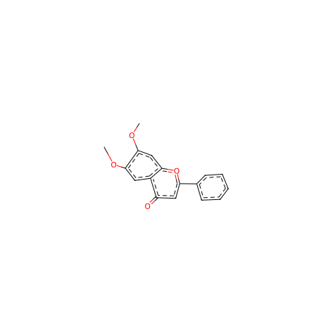 COc1cc2oc(-c3ccccc3)cc(=O)c2cc1OC